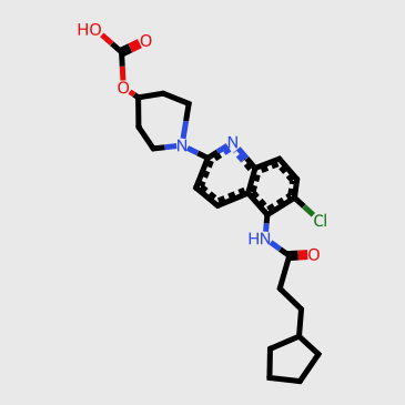 O=C(CCC1CCCC1)Nc1c(Cl)ccc2nc(N3CCC(OC(=O)O)CC3)ccc12